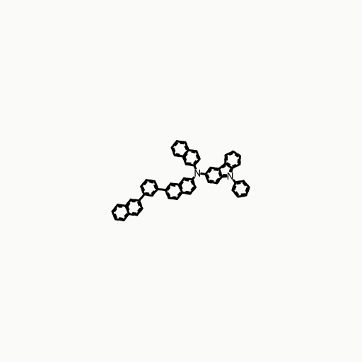 c1ccc(-n2c3ccccc3c3cc(N(c4ccc5ccccc5c4)c4ccc5ccc(-c6cccc(-c7ccc8ccccc8c7)c6)cc5c4)ccc32)cc1